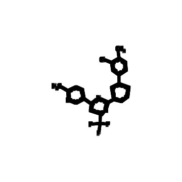 Cc1ccc(-c2cc(C(F)(F)F)nc(-c3cccc(-c4ccc(C)c(Cl)c4)c3)n2)cn1